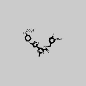 COc1cc(CNC(=O)c2cc(-c3cc(C[C@H]4CC[C@H](NC(=O)O)CC4)no3)nc(C)n2)ccc1F